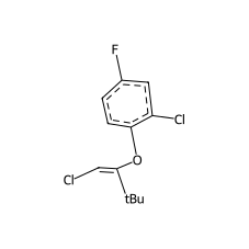 CC(C)(C)C(=CCl)Oc1ccc(F)cc1Cl